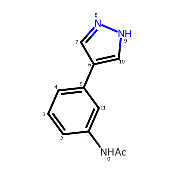 CC(=O)Nc1cccc(-c2cn[nH]c2)c1